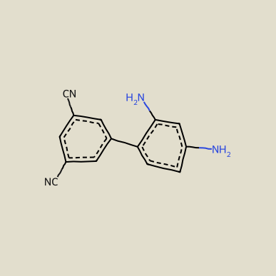 N#Cc1cc(C#N)cc(-c2ccc(N)cc2N)c1